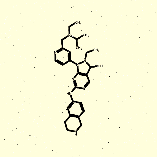 CCN(Cc1cc(N2c3nc(Nc4ccc5c(c4)CCNC5)ncc3C(O)N2CC)ccn1)C(C)C